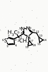 CC(C)(c1ccsc1)c1nnc(CC2CC2)n1C1CC1